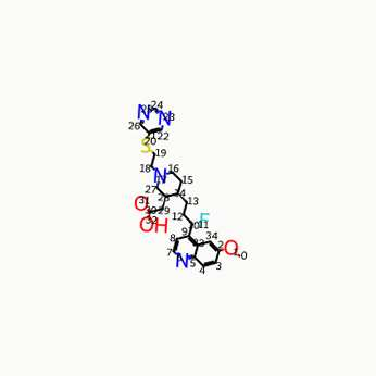 COc1ccc2nccc([C@@H](F)CC[C@@H]3CCN(CCSc4cncnc4)C[C@@H]3CC(=O)O)c2c1